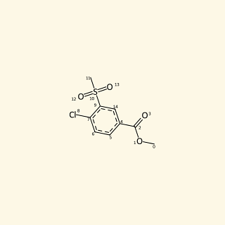 COC(=O)c1ccc(Cl)c(S(C)(=O)=O)c1